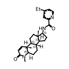 CCc1ccnc(C(=O)N[C@H]2CC[C@H]3[C@@H]4CC[C@H]5N(C)C(=O)C=C[C@]5(C)[C@H]4CC[C@]23C)c1